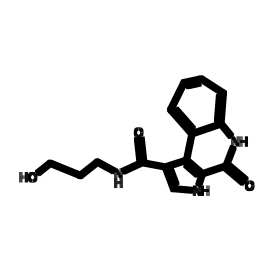 O=C(NCCCO)c1c[nH]c2c(=O)[nH]c3ccccc3c12